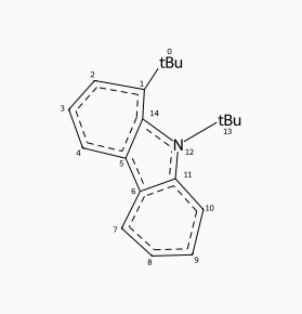 CC(C)(C)c1cccc2c3ccccc3n(C(C)(C)C)c12